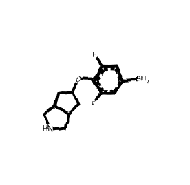 Bc1cc(F)c(OC2CC3CNCC3C2)c(F)c1